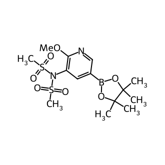 COc1ncc(B2OC(C)(C)C(C)(C)O2)cc1N(S(C)(=O)=O)S(C)(=O)=O